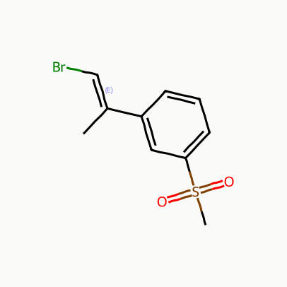 C/C(=C\Br)c1cccc(S(C)(=O)=O)c1